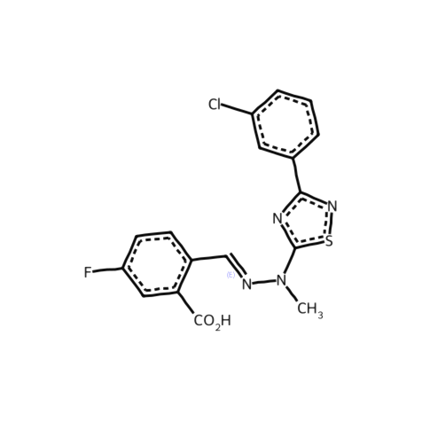 CN(/N=C/c1ccc(F)cc1C(=O)O)c1nc(-c2cccc(Cl)c2)ns1